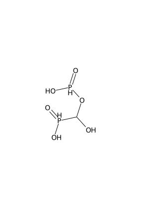 O=[PH](O)OC(O)[PH](=O)O